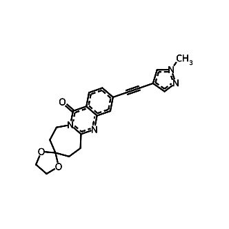 Cn1cc(C#Cc2ccc3c(=O)n4c(nc3c2)CCC2(CC4)OCCO2)cn1